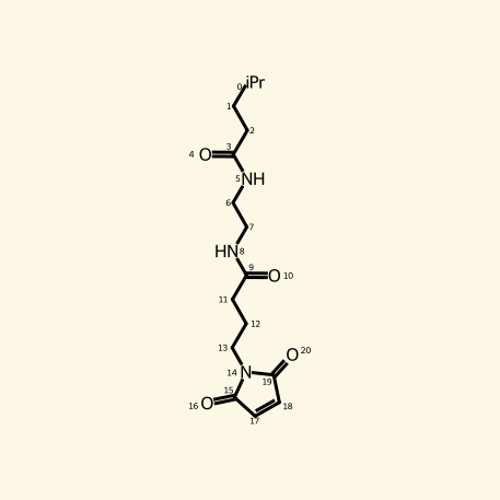 CC(C)CCC(=O)NCCNC(=O)CCCN1C(=O)C=CC1=O